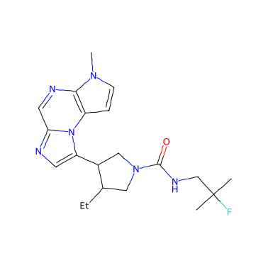 CCC1CN(C(=O)NCC(C)(C)F)CC1c1cnc2cnc3c(ccn3C)n12